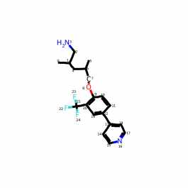 CC(CN)CC(C)COc1ccc(-c2ccncc2)cc1C(F)(F)F